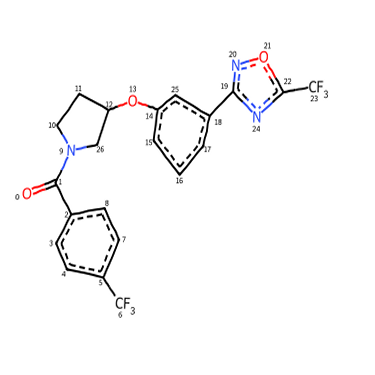 O=C(c1ccc(C(F)(F)F)cc1)N1CCC(Oc2cccc(-c3noc(C(F)(F)F)n3)c2)C1